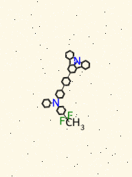 CC(F)(F)c1ccc(N(c2ccccc2)c2ccc(-c3ccc(-c4cc5c6ccccc6n6c7ccccc7c(c4)c56)cc3)cc2)cc1